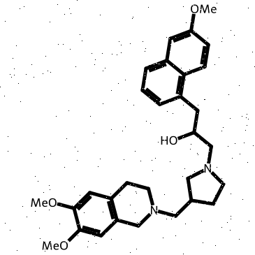 COc1ccc2c(CC(O)CN3CCC(CN4CCc5cc(OC)c(OC)cc5C4)C3)cccc2c1